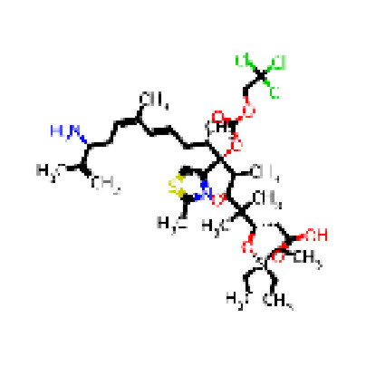 C=C(C)[C@@H](N)C/C=C(C)\C=C\C[C@H](C)[C@@](OC(=O)OCC(Cl)(Cl)Cl)(c1csc(C)n1)[C@@H](C)C(=O)C(C)(C)[C@H](CC(=O)O)O[Si](CC)(CC)CC